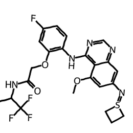 COc1cc(N=S2CCC2)cc2ncnc(Nc3ccc(F)cc3OCC(=O)NC(C)C(F)(F)F)c12